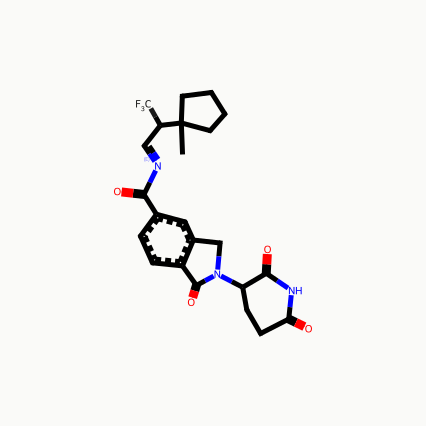 CC1(C(/C=N/C(=O)c2ccc3c(c2)CN(C2CCC(=O)NC2=O)C3=O)C(F)(F)F)CCCC1